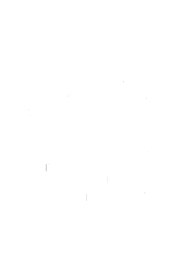 Cc1c(-c2cccs2)sc(-c2cccs2)c1C1=C(c2c(-c3cccs3)sc(-c3cccs3)c2C)C(F)(F)C(F)(F)C1(F)F